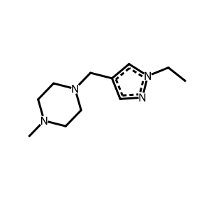 CCn1cc(CN2CCN(C)CC2)cn1